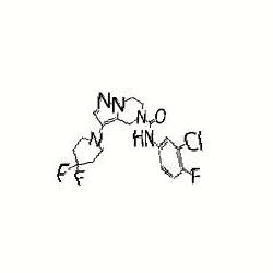 O=C(Nc1ccc(F)c(Cl)c1)N1CCn2ncc(N3CCC(F)(F)CC3)c2C1